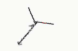 CCCCCCCCCCCCCCCCCCOc1cc(CN/C=C(/COCCOCCOCCOCCOCCOCCOCCOCCP(C)(=O)O)N=N)cc(OCCCCCCCCCCCCCCCCCC)c1